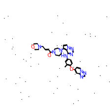 Cc1cc(Nc2ncnn3ccc(N4CCCN(C(=O)/C=C/CN5CCOCC5)CC4)c23)ccc1Oc1ccn2ncnc2c1